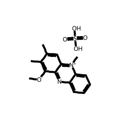 COc1c(C)c(C)cc2c1nc1ccccc1[n+]2C.O=S(=O)(O)O